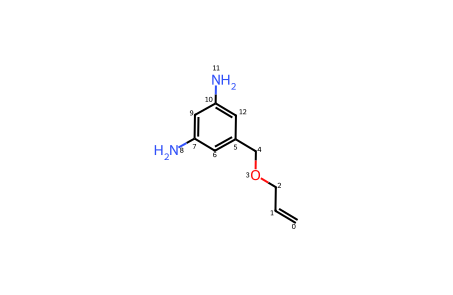 C=CCOCc1cc(N)cc(N)c1